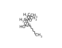 CCCCCCCN(CCN(C)C(=O)OC(C)(C)C)CC(=O)O